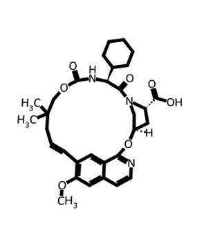 COc1cc2ccnc3c2cc1/C=C/CC(C)(C)COC(=O)N[C@@H](C1CCCCC1)C(=O)N1C[C@@H](C[C@H]1C(=O)O)O3